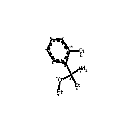 CCOC(N)(CC)c1ccccc1CC